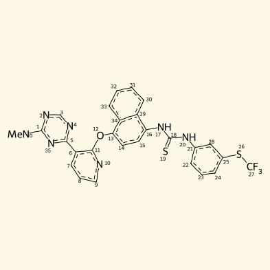 CNc1ncnc(-c2cccnc2Oc2ccc(NC(=S)Nc3cccc(SC(F)(F)F)c3)c3ccccc23)n1